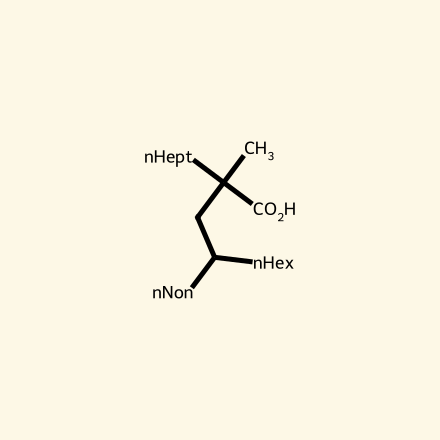 CCCCCCCCCC(CCCCCC)CC(C)(CCCCCCC)C(=O)O